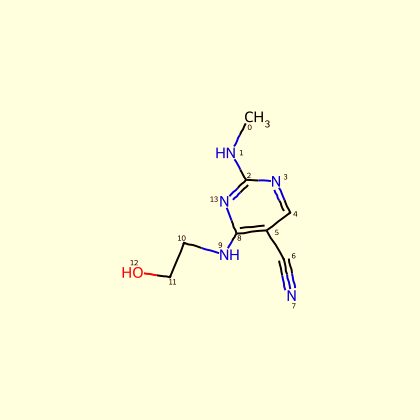 CNc1ncc(C#N)c(NCCO)n1